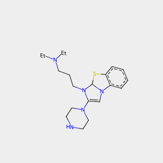 CCN(CC)CCCN1C(N2CCNCC2)=CN2c3ccccc3SC12